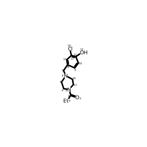 CCC(=O)N1CCN(Cc2ccc(O)c(Cl)c2)CC1